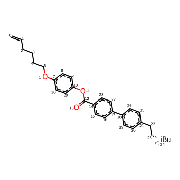 C=CCCCCOc1ccc(OC(=O)c2ccc(-c3ccc(CC[C@@H](C)CC)cc3)cc2)cc1